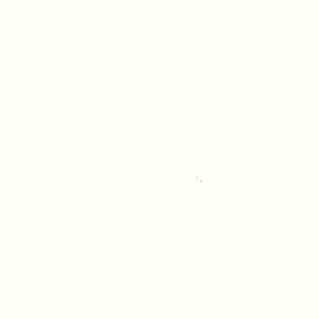 CCN(CC)c1ccc(Cc2ccccc2O)c(O)c1